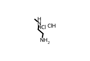 CNCCN.Cl.Cl